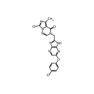 Cc1nc(Cl)n2ncn(Cc3nc4ncc(Oc5ccc(Cl)cc5)nc4[nH]3)c(=O)c12